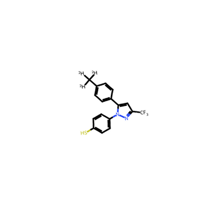 [2H]C([2H])([2H])c1ccc(-c2cc(C(F)(F)F)nn2-c2ccc(S)cc2)cc1